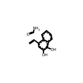 C=Cc1cc(O)c(O)c2ccccc12.NC=O